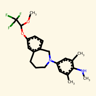 CNc1c(C)cc(N2CCCc3cc(OC(OC)C(F)(F)F)ccc3C2)cc1C